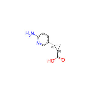 Nc1ccc([C@@H]2C[C@H]2C(=O)O)cn1